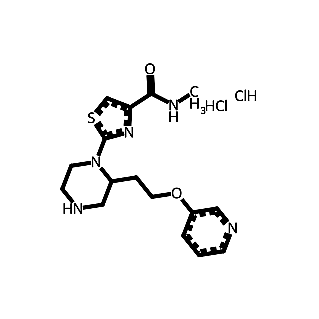 CNC(=O)c1csc(N2CCNCC2CCOc2cccnc2)n1.Cl.Cl